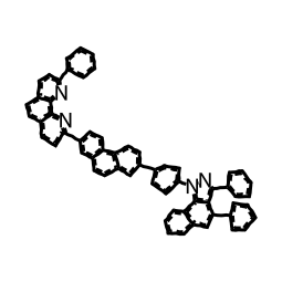 c1ccc(-c2ccc3ccc4ccc(-c5ccc6c(ccc7cc(-c8ccc(-n9nc(-c%10ccccc%10)c%10c(-c%11ccccc%11)cc%11ccccc%11c%109)cc8)ccc76)c5)nc4c3n2)cc1